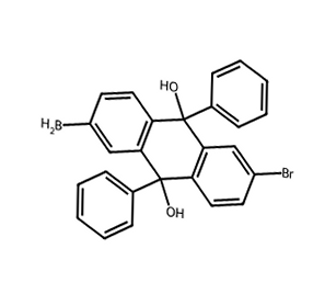 Bc1ccc2c(c1)C(O)(c1ccccc1)c1ccc(Br)cc1C2(O)c1ccccc1